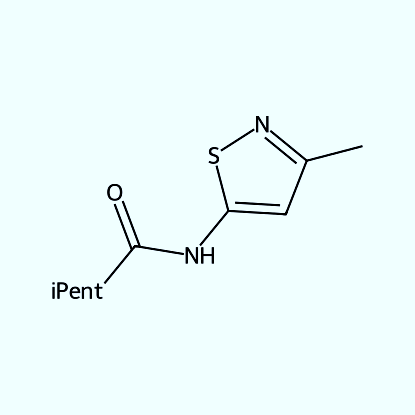 CCCC(C)C(=O)Nc1cc(C)ns1